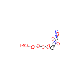 O=C1CCC(N2Cc3c(OCCOCCOCCOCCO)cccc3C2=O)C(=O)N1